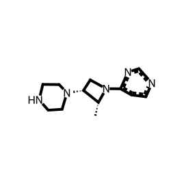 C[C@@H]1[C@H](N2CCNCC2)CN1c1ccncn1